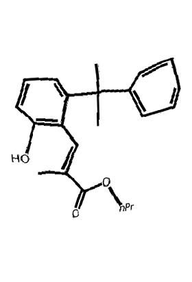 CCCOC(=O)C(C)=Cc1c(O)cccc1C(C)(C)c1ccccc1